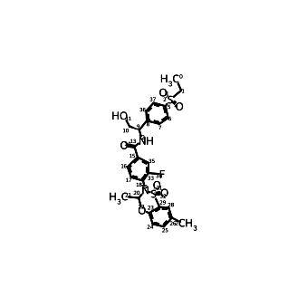 CCS(=O)(=O)c1ccc([C@H](CO)NC(=O)c2ccc(N3C(C)Oc4ccc(C)cc4S3(=O)=O)c(F)c2)cc1